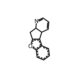 C1=CC2c3c(oc4ccccc34)CC2N=C1